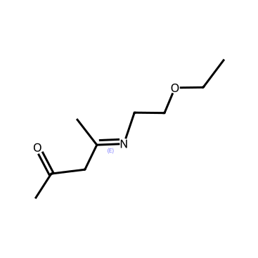 CCOCC/N=C(\C)CC(C)=O